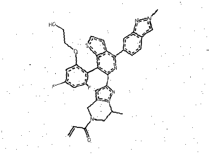 C=CC(=O)N1Cc2cc(-c3nc(-c4ccc5cn(C)nc5c4)c4ccsc4c3-c3c(F)cc(F)cc3OCCO)nn2C(C)C1